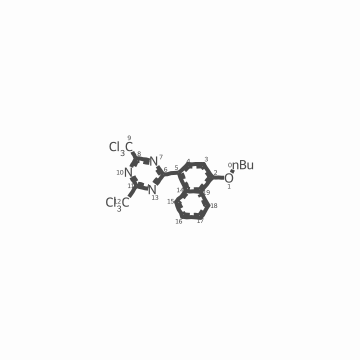 CCCCOc1ccc(-c2nc(C(Cl)(Cl)Cl)nc(C(Cl)(Cl)Cl)n2)c2ccccc12